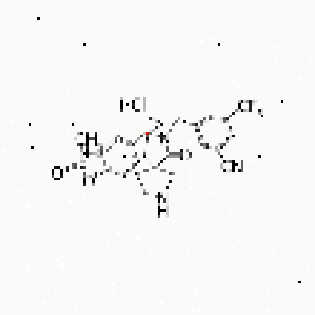 Cl.Cn1c(=O)oc2ccc(CN(Cc3cc(C#N)cc(C(F)(F)F)c3)C(=O)C3(CC4CC4)CCNC3)cc21